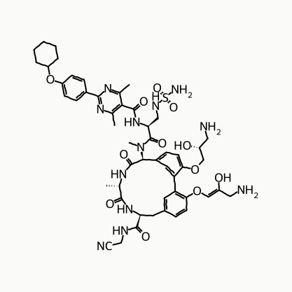 Cc1nc(-c2ccc(OC3CCCCC3)cc2)nc(C)c1C(=O)N[C@@H](CNS(N)(=O)=O)C(=O)N(C)[C@@H]1C(=O)N[C@@H](C)C(=O)N[C@H](C(=O)NCC#N)Cc2ccc(O/C=C(\O)CN)c(c2)-c2cc1ccc2OC[C@H](O)CN